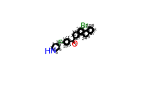 C1=CC=CNC=C1.O=C(c1ccc(F)cc1)C1C=c2c(ccc3c2=CCc2cccc(Br)c2-3)CC1